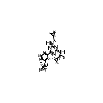 CC(Nc1nc(NCC2CC2)nc(-c2cccc(OC(F)(F)F)c2)n1)C1CC1